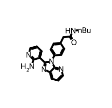 CCCCNC(=O)Cc1ccc(-n2c(-c3cccnc3N)nc3cccnc32)cc1